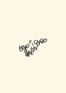 O=C1NC(=O)C(=Cc2ccnc(N3CCC(CNCc4cc(-c5cc6ccccc6o5)nc(C(F)(F)F)c4)CC3)n2)S1